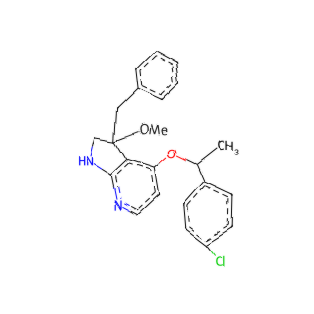 COC1(Cc2ccccc2)CNc2nccc(OC(C)c3ccc(Cl)cc3)c21